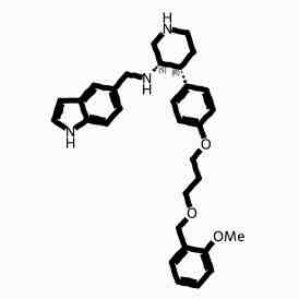 COc1ccccc1COCCCOc1ccc([C@H]2CCNC[C@H]2NCc2ccc3[nH]ccc3c2)cc1